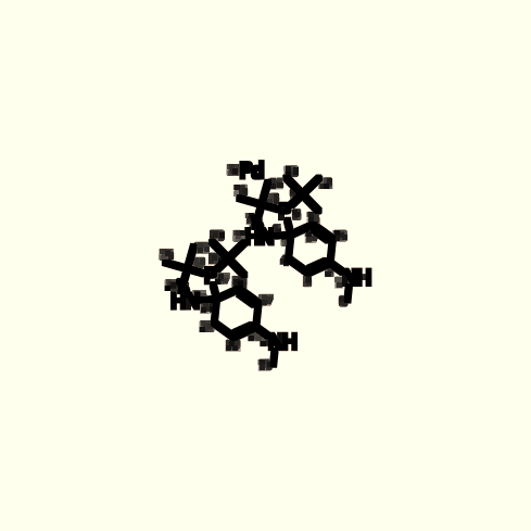 CNC1=CCC(NC)(P(C(C)(C)C)C(C)(C)C)C=C1.CNC1=CCC(NC)(P(C(C)(C)C)C(C)(C)C)C=C1.[Pd]